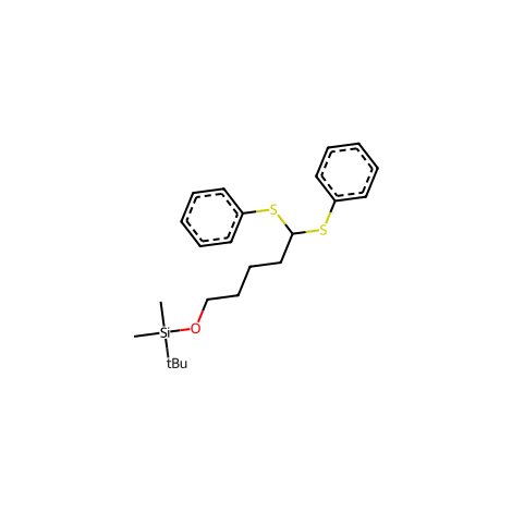 CC(C)(C)[Si](C)(C)OCCCCC(Sc1ccccc1)Sc1ccccc1